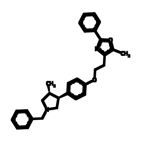 Cc1oc(-c2ccccc2)nc1CCOc1ccc([C@H]2CN(Cc3ccccc3)C[C@@H]2C)cc1